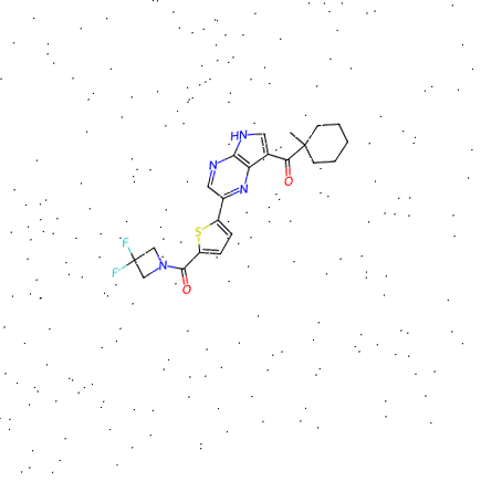 CC1(C(=O)c2c[nH]c3ncc(-c4ccc(C(=O)N5CC(F)(F)C5)s4)nc23)CCCCC1